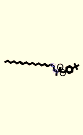 CCCCCC=CCCCCCCC=C/C=C\C=C(\C)C(=O)Oc1ccc(C(C)(C)C)cc1